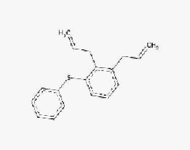 C=CCc1cccc(Sc2ccccc2)c1CC=C